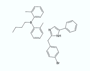 Brc1ccc(Cc2ncc(-c3ccccc3)[nH]2)cc1.CCCCB(c1ccccc1C)c1ccccc1C